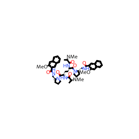 CN[C@@H](C)C(=O)N[C@@H](CC[C@H](NC(=O)[C@H](C)NC)C(=O)N1CCC[C@H]1CNC(=O)c1cc2ccccc2cc1OC)C(=O)N1CCC[C@H]1CNC(=O)c1cc2ccccc2cc1OC